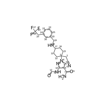 N#CCC1(n2cc(C(N)=O)c(NC=O)n2)CCC(NCc2cccc(CC(F)(F)F)c2)CC1